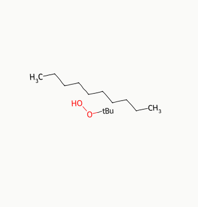 CC(C)(C)OO.CCCCCCCCCC